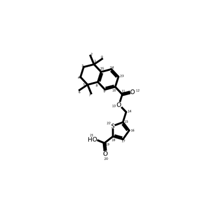 CC1(C)CCC(C)(C)c2cc(C(=O)OCc3ccc(C(=O)O)s3)ccc21